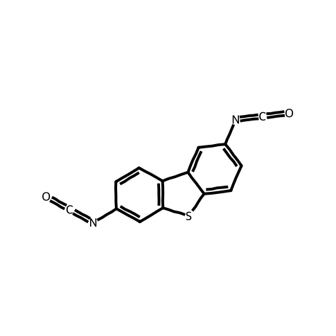 O=C=Nc1ccc2c(c1)sc1ccc(N=C=O)cc12